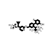 COC(c1cc(COc2cc([C@@H](CP(C)(=O)O)C3CC3)ccn2)ccc1-c1cc(O)ccc1F)C(C)(C)C